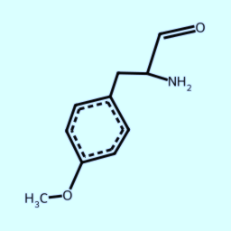 COc1ccc(CC(N)C=O)cc1